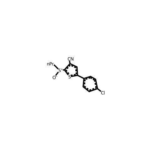 CCC[S+]([O-])c1sc(-c2ccc(Cl)cc2)cc1C#N